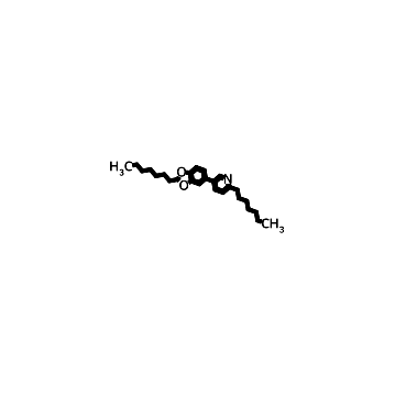 CCCCCCCc1ccc(-c2ccc3c(c2)OC(CCCCCCC)O3)cn1